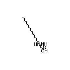 CCCCCCCCCCCCCCCCNC(=N)CC(=O)O